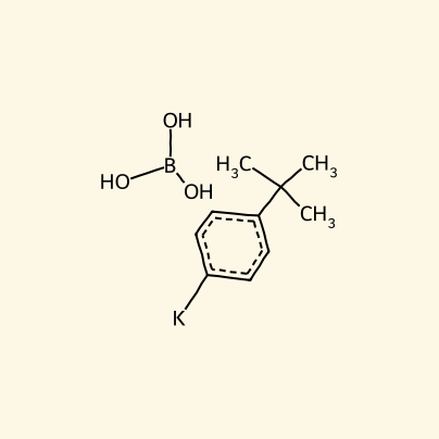 CC(C)(C)c1cc[c]([K])cc1.OB(O)O